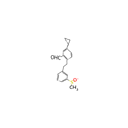 C[S+]([O-])c1cccc(CCc2ccc(C3CC3)cc2C=O)c1